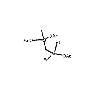 CC[Si](CC)(C[Si](C)(OC(C)=O)OC(C)=O)OC(C)=O